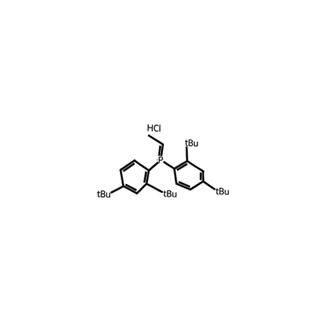 CC=[P](c1ccc(C(C)(C)C)cc1C(C)(C)C)c1ccc(C(C)(C)C)cc1C(C)(C)C.Cl